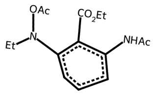 CCOC(=O)c1c(NC(C)=O)cccc1N(CC)OC(C)=O